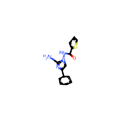 Nc1nc(-c2ccccc2)cn1NC(=O)c1cccs1